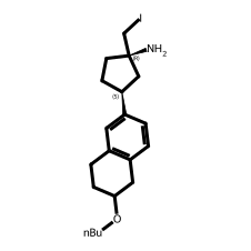 CCCCOC1CCc2cc([C@H]3CC[C@](N)(CI)C3)ccc2C1